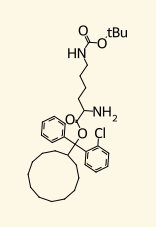 CC(C)(C)OC(=O)NCCCCC(N)C(=O)OC(c1ccccc1)(c1ccccc1Cl)C1CCCCCCCCCCC1